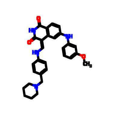 COc1cccc(Nc2ccc3c(c2)C(=CNc2ccc(CN4CCCCC4)cc2)C(=O)NC3=O)c1